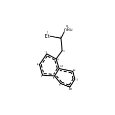 CCCCC(CC)Cc1[c]ccc2ccccc12